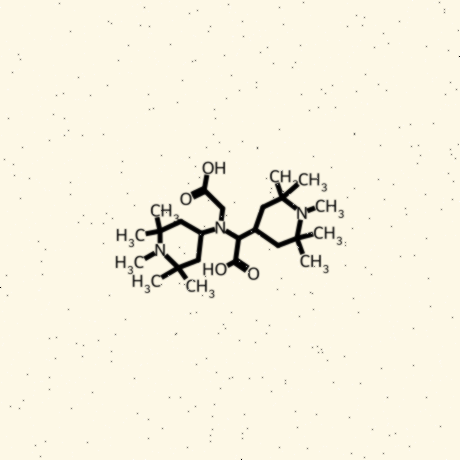 CN1C(C)(C)CC(C(C(=O)O)N(CC(=O)O)C2CC(C)(C)N(C)C(C)(C)C2)CC1(C)C